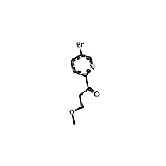 COCCC(=O)c1ccc(Br)cn1